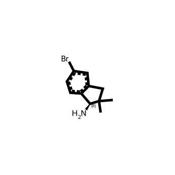 CC1(C)Cc2cc(Br)ccc2[C@@H]1N